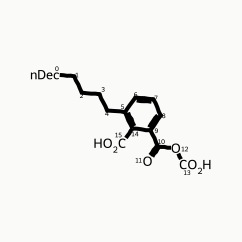 CCCCCCCCCCCCCCc1cccc(C(=O)OC(=O)O)c1C(=O)O